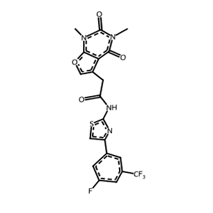 Cn1c(=O)c2c(CC(=O)Nc3nc(-c4cc(F)cc(C(F)(F)F)c4)cs3)coc2n(C)c1=O